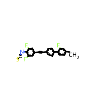 CCc1ccc(-c2ccc(C#Cc3cc(F)c(N=C=S)c(F)c3)cc2)c(F)c1